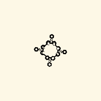 C1=CC(n2c3c4c5cc(ccc52)-c2ccc5c(c2)c2cc(ccc2n5-c2ccccc2)-c2ccc5c(c2)c2cc(ccc2n5-c2ccccc2)-c2ccc5c(c2)c2cc(ccc2n5-c2ccccc2)C(C=C3)C4)=CCC1